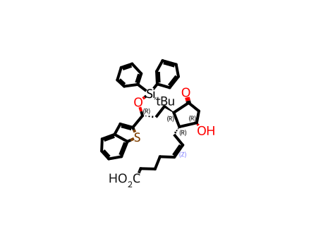 CC(C)(C)[Si](O[C@H](CC[C@H]1C(=O)C[C@@H](O)[C@@H]1C/C=C\CCCC(=O)O)c1cc2ccccc2s1)(c1ccccc1)c1ccccc1